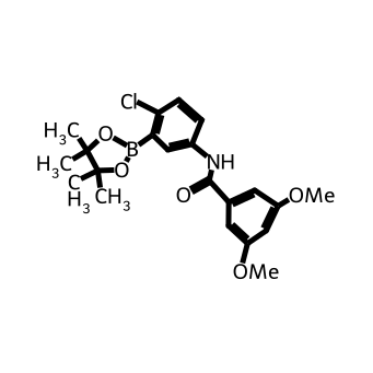 COc1cc(OC)cc(C(=O)Nc2ccc(Cl)c(B3OC(C)(C)C(C)(C)O3)c2)c1